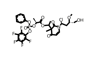 CO[C@H](CO)C[C@H](Cl)N1C=CC(=O)C(C)(C(C)OC(=O)[C@H](C)OP(=O)(Oc2ccccc2)Oc2c(F)c(F)c(F)c(F)c2F)C1=O